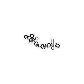 O=C(NC1CCN(c2ccc(CN3CCC(NC(=O)c4cccc(-c5ccccn5)c4Cl)CC3)cn2)CC1)c1ccccc1